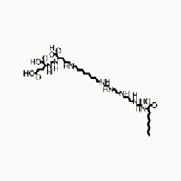 CCCCCCCC(NCCNCCCNCCNCCNCCCCCCCCNCCCC(NCNC(CCC(=O)O)C(=O)O)C(=O)O)C(=O)O